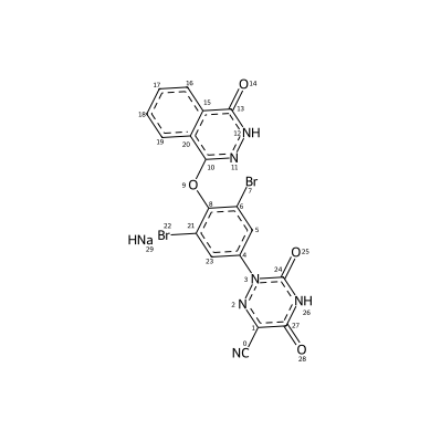 N#Cc1nn(-c2cc(Br)c(Oc3n[nH]c(=O)c4ccccc34)c(Br)c2)c(=O)[nH]c1=O.[NaH]